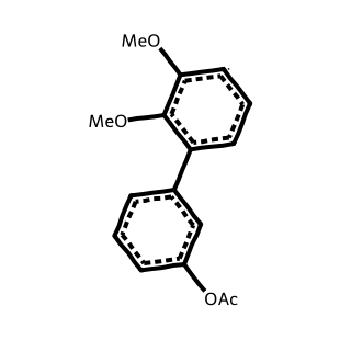 COc1[c]ccc(-c2cccc(OC(C)=O)c2)c1OC